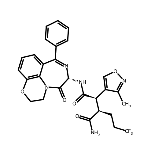 Cc1nocc1[C@H](C(=O)N[C@H]1N=C(c2ccccc2)c2cccc3c2N(CCO3)C1=O)[C@@H](CCC(F)(F)F)C(N)=O